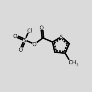 Cc1csc(C(=O)OS(=O)(=O)Cl)c1